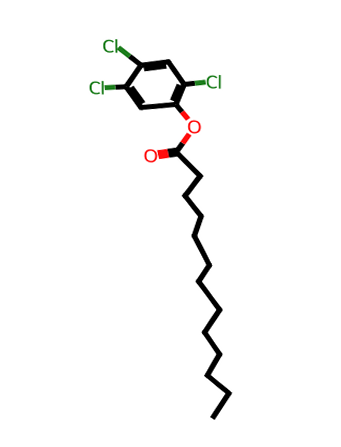 CCCCCCCCCCCCC(=O)Oc1cc(Cl)c(Cl)cc1Cl